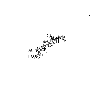 COc1nc(O[C@H]2CCc3c(-c4cccc(-c5ccc(CNC[C@@H]6CCC(=O)N6)c(OCC#N)n5)c4Cl)cccc32)c(C(F)(F)F)cc1CNC1(C(=O)O)CC1